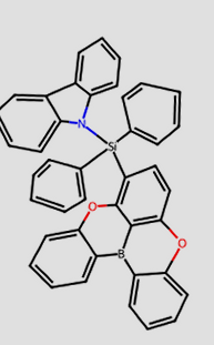 c1ccc([Si](c2ccccc2)(c2ccc3c4c2Oc2ccccc2B4c2ccccc2O3)n2c3ccccc3c3ccccc32)cc1